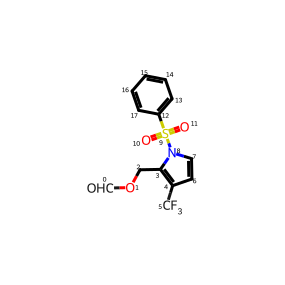 O=COCc1c(C(F)(F)F)ccn1S(=O)(=O)c1ccccc1